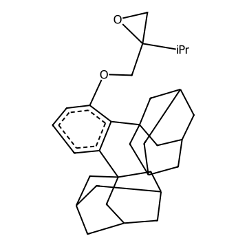 CC(C)C1(COc2cccc(C34CC5CC(CC(C5)C3)C4)c2C23CC4CC(CC(C4)C2)C3)CO1